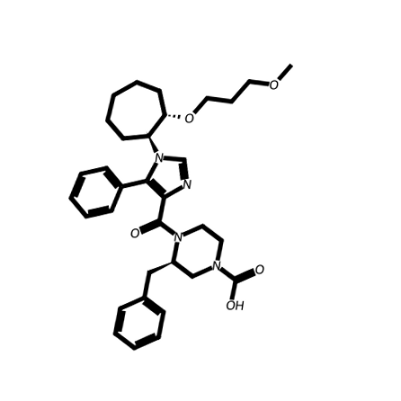 COCCCO[C@H]1CCCCC[C@@H]1n1cnc(C(=O)N2CCN(C(=O)O)C[C@H]2Cc2ccccc2)c1-c1ccccc1